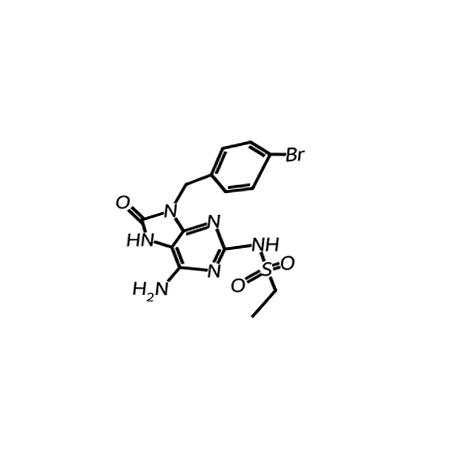 CCS(=O)(=O)Nc1nc(N)c2[nH]c(=O)n(Cc3ccc(Br)cc3)c2n1